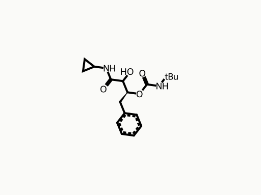 CC(C)(C)NC(=O)O[C@@H](Cc1ccccc1)C(O)C(=O)NC1CC1